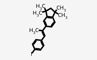 CC(=Cc1ccc(I)cc1)c1ccc2c(c1)C(C)(C)CC2(C)C